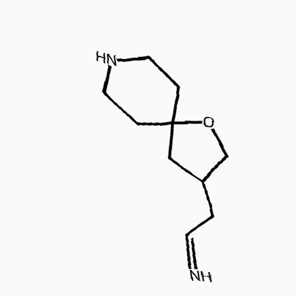 N=CCC1COC2(CCNCC2)C1